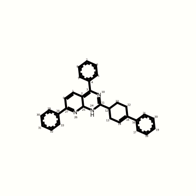 C1=CC2=C(c3ccccc3)N=C(C3CC=C(c4ccccc4)CC3)NC2N=C1c1ccccc1